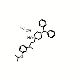 CC(C)Oc1cccc(N(C)CCC2(O)CCN(C(c3ccccc3)c3ccccc3)CC2)c1.Cl.Cl